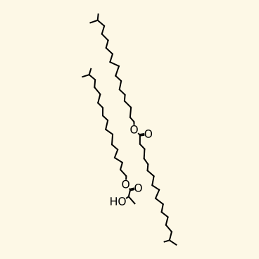 CC(C)CCCCCCCCCCCCCCCOC(=O)C(C)O.CC(C)CCCCCCCCCCCCCCCOC(=O)CCCCCCCCCCCCCCC(C)C